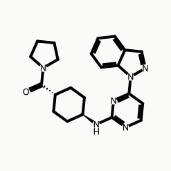 O=C([C@H]1CC[C@H](Nc2nccc(-n3ncc4ccccc43)n2)CC1)N1CCCC1